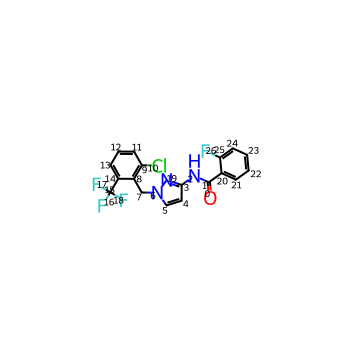 O=C(Nc1ccn(Cc2c(Cl)cccc2C(F)(F)F)n1)c1ccccc1F